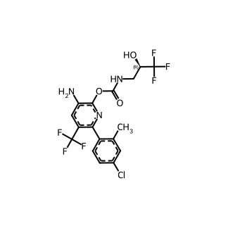 Cc1cc(Cl)ccc1-c1nc(OC(=O)NC[C@@H](O)C(F)(F)F)c(N)cc1C(F)(F)F